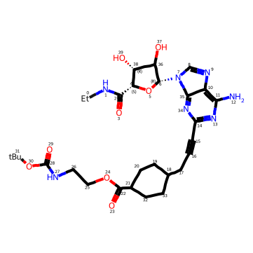 CCNC(=O)[C@H]1O[C@@H](n2cnc3c(N)nc(C#CCC4CCC(C(=O)OCCNC(=O)OC(C)(C)C)CC4)nc32)C(O)[C@H]1O